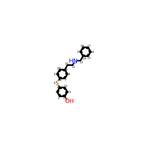 Oc1ccc(Sc2ccc(CCNCc3ccccc3)cc2)cc1